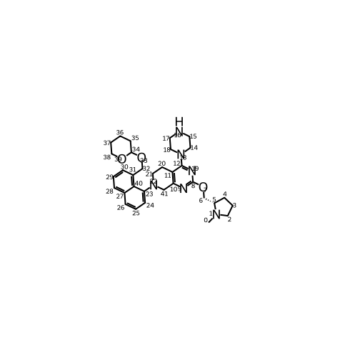 CN1CCC[C@H]1COc1nc2c(c(N3CCNCC3)n1)CCN(c1cccc3cccc(COC4CCCCO4)c13)C2